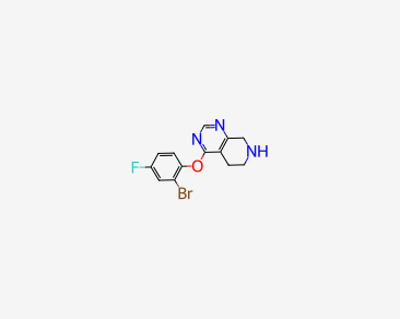 Fc1ccc(Oc2ncnc3c2CCNC3)c(Br)c1